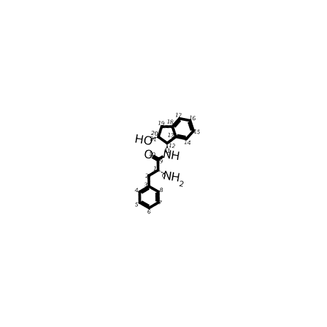 N[C@H](Cc1ccccc1)C(=O)N[C@H]1c2ccccc2C[C@H]1O